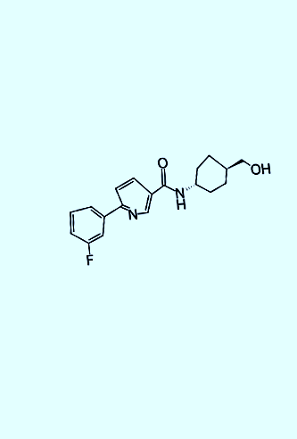 O=C(N[C@H]1CC[C@H](CO)CC1)c1ccc(-c2cccc(F)c2)nc1